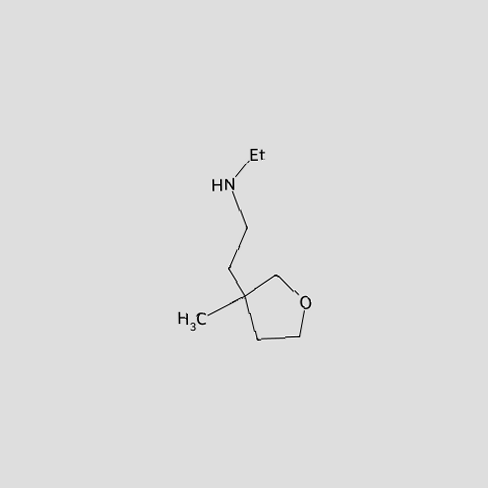 CCNCCC1(C)CCOC1